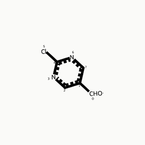 O=[C]c1cnc(Cl)nc1